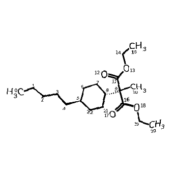 CCCCC[C@H]1CC[C@H](C(C)(C(=O)OCC)C(=O)OCC)CC1